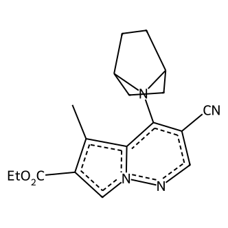 CCOC(=O)c1cn2ncc(C#N)c(N3C4CCC3CC4)c2c1C